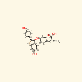 CC(=Cc1ccc(Oc2c(-c3ccc(O)cc3)sc3cc(O)ccc23)cc1)C(=O)O